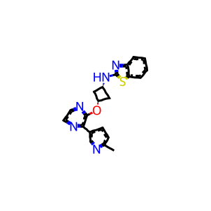 Cc1ccc(-c2nccnc2O[C@H]2C[C@@H](Nc3nc4ccccc4s3)C2)cn1